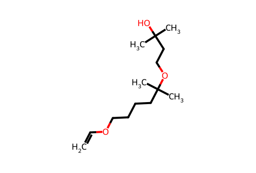 C=COCCCCC(C)(C)OCCC(C)(C)O